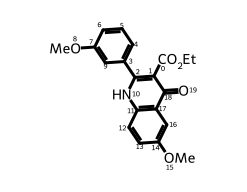 CCOC(=O)c1c(-c2cccc(OC)c2)[nH]c2ccc(OC)cc2c1=O